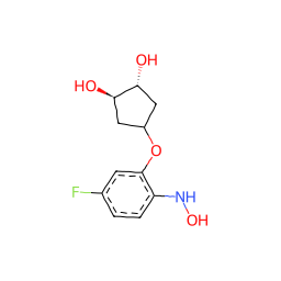 ONc1ccc(F)cc1OC1C[C@@H](O)[C@H](O)C1